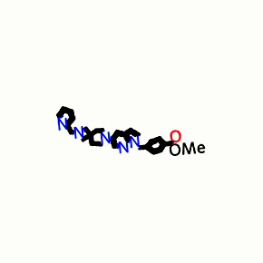 COC(=O)c1ccc(Cn2ccc3cc(N4CCC5(CC4)CN(Cc4ccccn4)C5)cnc32)cc1